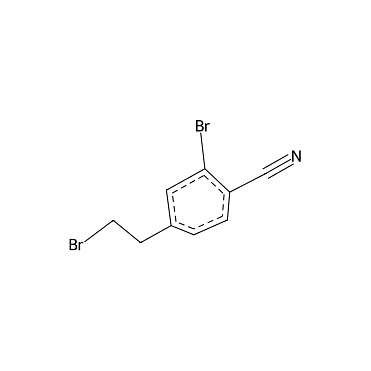 N#Cc1ccc(CCBr)cc1Br